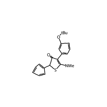 CNC1=C(c2cccc(OC(C)(C)C)c2)C(=O)C(c2ccccc2)S1